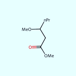 CCCC(CC(=O)OC)OC